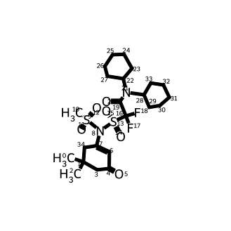 CC1(C)CC(=O)C=C(N(S(C)(=O)=O)S(=O)(=O)C(F)(F)C(=O)N(C2CCCCC2)C2CCCCC2)C1